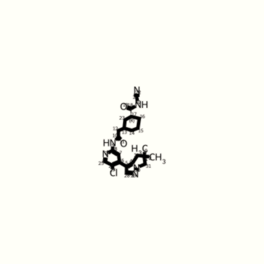 CC1(C)Cc2c(-c3cc(NC(=O)CC4CCC[C@@H](C(=O)NC#N)C4)ncc3Cl)cnn2C1